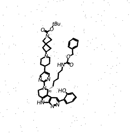 CC(C)(C)OC(=O)N1CC2(CC(N3CCC(c4cnc(N5CCc6[nH]c7nnc(-c8ccccc8O)cc7c6[C@H]5CCCCCNC(=O)OCc5ccccc5)nc4)CC3)C2)C1